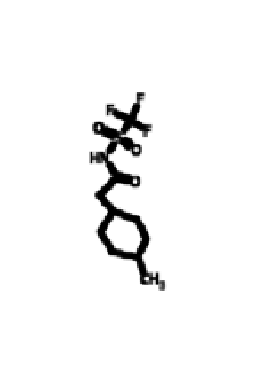 CC1CCC(CC(=O)NS(=O)(=O)C(F)(F)F)CC1